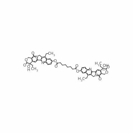 CCc1c2c(nc3ccc(OC(=O)CCCCCCC(=O)Oc4ccc5nc6c(c(CC)c5c4)Cn4c-6cc5c(c4=O)COC(=O)[C@]5(O)CC)cc13)-c1cc3c(c(=O)n1C2)COC(=O)[C@]3(O)CC